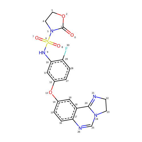 O=C1OCCN1S(=O)(=O)Nc1cc(Oc2ccc3c(c2)C2=NCCN2C=N3)ccc1F